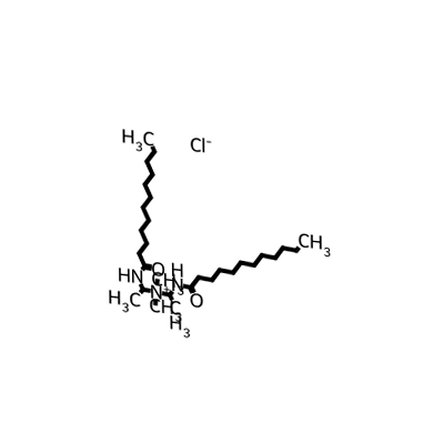 CCCCCCCCCCCC(=O)NC(C)[N+](C)(C)C(C)NC(=O)CCCCCCCCCCC.[Cl-]